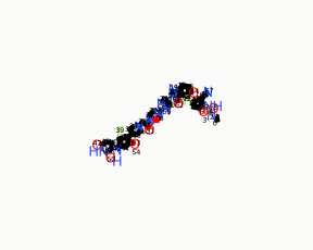 CCN(C)S(=O)(=O)Nc1ccc(F)c(Oc2ccc3ncn(-c4cnc(N5CCN(C(=O)CN6CCC(c7c(F)cc(NC8CCC(=O)NC8=O)cc7OC)CC6)CC5)nc4)c(=O)c3c2)c1C#N